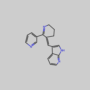 C(=C1CCCN=C1c1cccnc1)c1c[nH]c2ncccc12